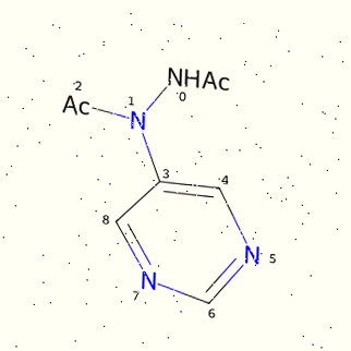 CC(=O)NN(C(C)=O)c1cncnc1